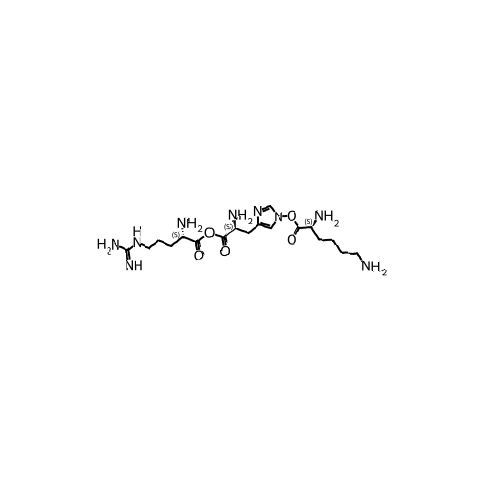 N=C(N)NCCC[C@H](N)C(=O)OC(=O)[C@@H](N)Cc1cn(OC(=O)[C@@H](N)CCCCN)cn1